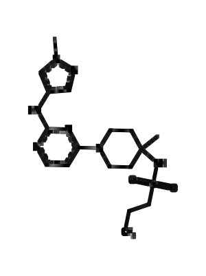 Cn1cc(Nc2nccc(N3CCC(C)(NS(=O)(=O)CCC(F)(F)F)CC3)n2)cn1